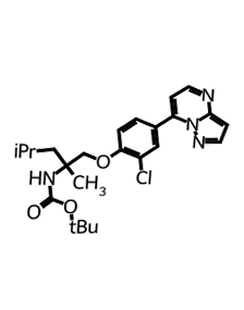 CC(C)CC(C)(COc1ccc(-c2ccnc3ccnn23)cc1Cl)NC(=O)OC(C)(C)C